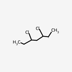 C[CH]C(Cl)CC(Cl)CC